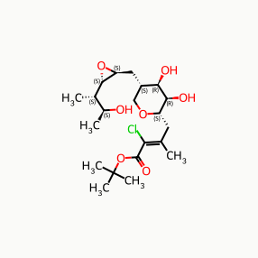 CC(C[C@@H]1OC[C@H](C[C@@H]2O[C@H]2[C@@H](C)[C@H](C)O)[C@@H](O)[C@H]1O)=C(Cl)C(=O)OC(C)(C)C